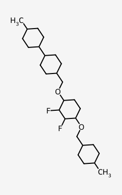 CC1CCC(COC2CCC(OCC3CCC(C4CCC(C)CC4)CC3)C(F)C2F)CC1